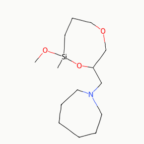 CO[Si]1(C)CCCOCC(CN2CCCCCC2)O1